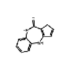 O=C1Nc2ccccc2NC2=C1CC=C2